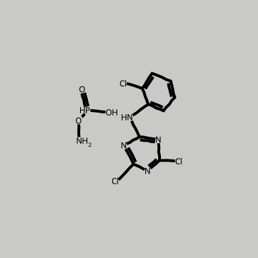 Clc1nc(Cl)nc(Nc2ccccc2Cl)n1.NO[PH](=O)O